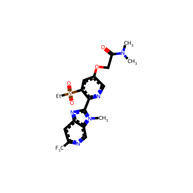 CCS(=O)(=O)c1cc(OCC(=O)N(C)C)cnc1-c1nc2cc(C(F)(F)F)ncc2n1C